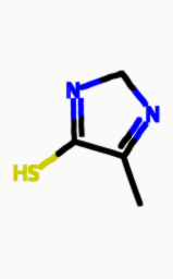 CC1=NCN=C1S